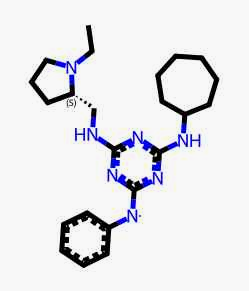 CCN1CCC[C@H]1CNc1nc([N]c2ccccc2)nc(NC2CCCCCC2)n1